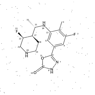 Cc1c(F)cc(-c2n[nH]c(=O)o2)cc1N[C@@H](C)[C@H]1CCNC[C@H]1F